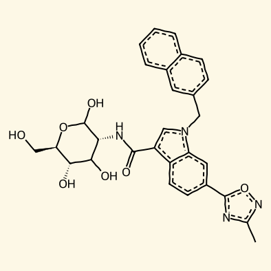 Cc1noc(-c2ccc3c(C(=O)N[C@H]4C(O)O[C@H](CO)[C@@H](O)C4O)cn(Cc4ccc5ccccc5c4)c3c2)n1